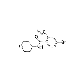 Cc1cc(Br)ccc1C(=O)NC1CCOCC1